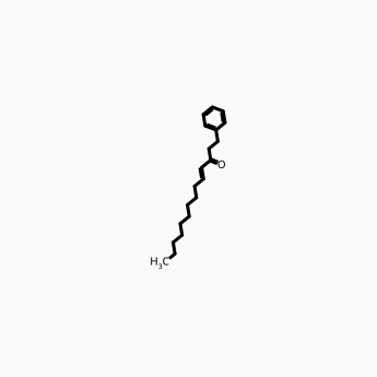 CCCCCCCCC/C=C/C(=O)CCc1ccccc1